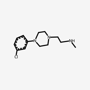 CNCCN1CCN(c2cccc(Cl)c2)CC1